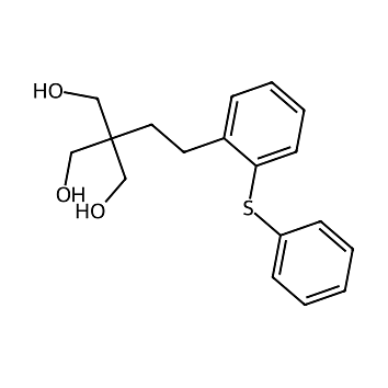 OCC(CO)(CO)CCc1ccccc1Sc1ccccc1